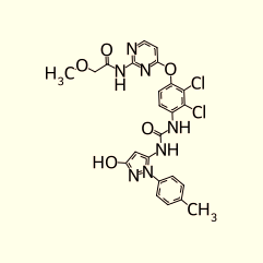 COCC(=O)Nc1nccc(Oc2ccc(NC(=O)Nc3cc(O)nn3-c3ccc(C)cc3)c(Cl)c2Cl)n1